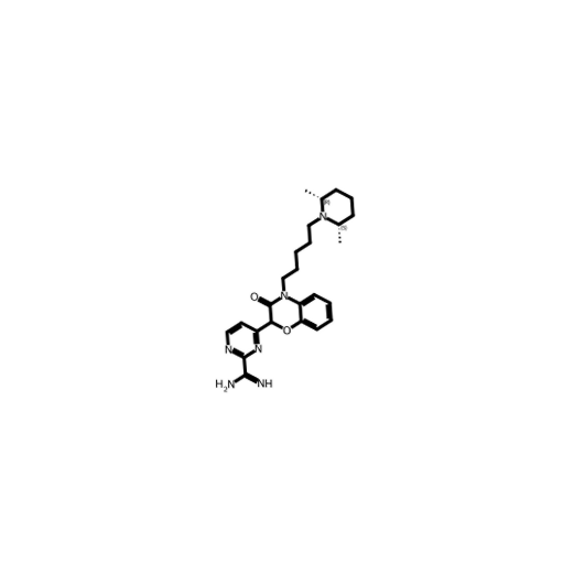 C[C@@H]1CCC[C@H](C)N1CCCCCN1C(=O)C(c2ccnc(C(=N)N)n2)Oc2ccccc21